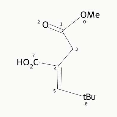 COC(=O)C/C(=C\C(C)(C)C)C(=O)O